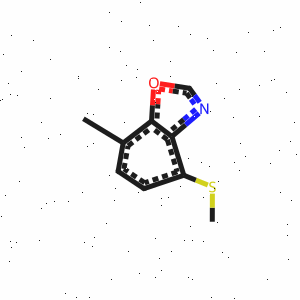 CSc1ccc(C)c2ocnc12